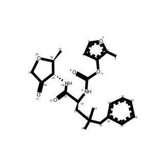 Cc1occc1OC(=O)N[C@@H](CC(C)(C)Cc1ccccc1)C(=O)N[C@@H]1C(=O)CO[C@H]1C